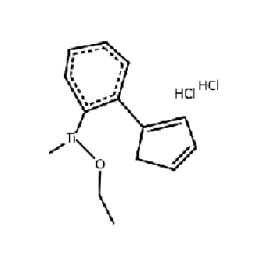 CC[O][Ti]([CH3])[c]1ccccc1C1=CC=CC1.Cl.Cl